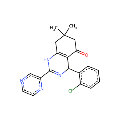 CC1(C)CC(=O)C2=C(C1)NC(c1cnccn1)=NC2c1ccccc1Cl